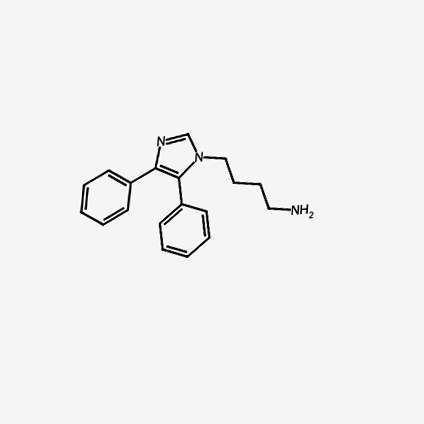 NCCCCn1cnc(-c2ccccc2)c1-c1ccccc1